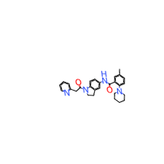 Cc1ccc(N2CCCCC2)c(C(=O)Nc2ccc3c(c2)CCN3C(=O)Cc2ccccn2)c1